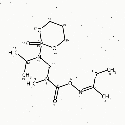 CSC(C)=NOC(=O)N(C)SN(C(C)C)P1(=O)OCCCO1